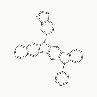 c1ccc(-n2c3ccccc3c3cc4c(cc32)c2cc3ccccc3cc2n4-c2ccc3ncoc3c2)cc1